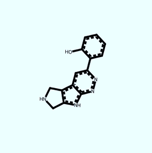 Oc1ccccc1-c1cc2c3c([nH]c2nn1)CNC3